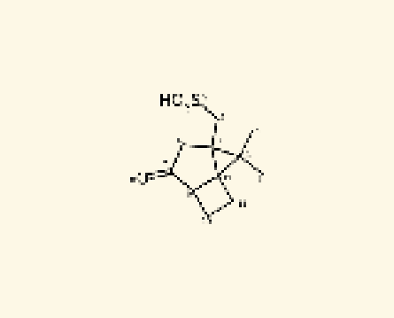 CC1(C)C2(CS(=O)(=O)O)CC(=O)C3CCC312